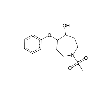 CS(=O)(=O)N1CCC(O)C(Oc2ccccc2)CC1